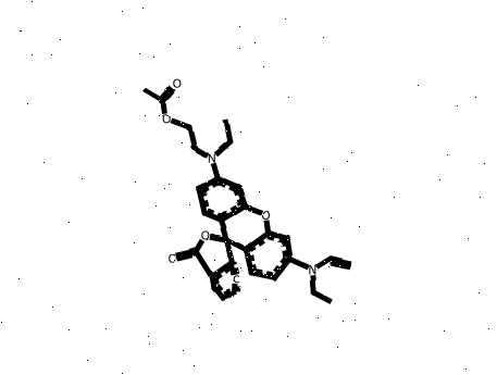 C=CN(CC)c1ccc2c(c1)Oc1cc(N(CC)CCOC(C)=O)ccc1C21OC(=O)c2ccccc21